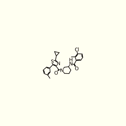 Cc1cccc(-c2sc(C3CC3)nc2C(=O)N2CCCC(NC(=O)c3cccc(Cl)c3C)C2)c1